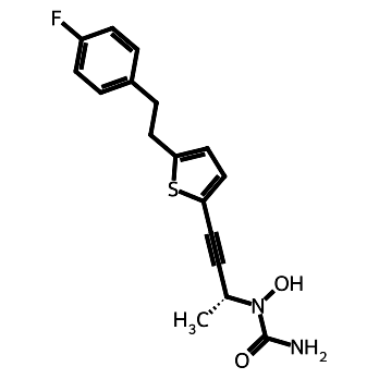 C[C@H](C#Cc1ccc(CCc2ccc(F)cc2)s1)N(O)C(N)=O